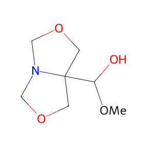 COC(O)C12COCN1COC2